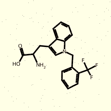 NC(Cc1cn(Cc2ccccc2C(F)(F)F)c2ccccc12)C(=O)O